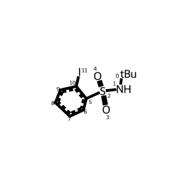 CC(C)(C)NS(=O)(=O)c1ccccc1I